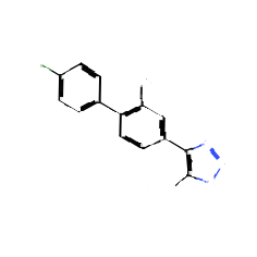 N#Cc1cc(-c2nn[nH]c2C(=O)O)ccc1-c1ccc(Cl)cc1